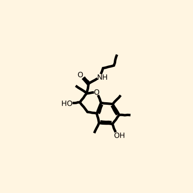 CCCNC(=O)C1(C)Oc2c(C)c(C)c(O)c(C)c2CC1O